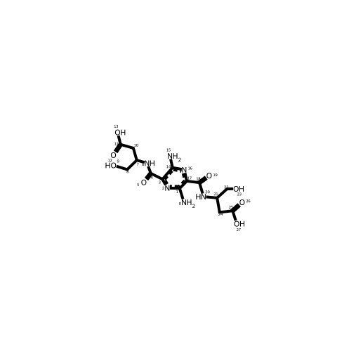 Nc1nc(C(=O)NC(CO)CC(=O)O)c(N)nc1C(=O)NC(CO)CC(=O)O